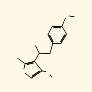 COc1ccc(CC(O)c2c(OC)csc2C)cc1